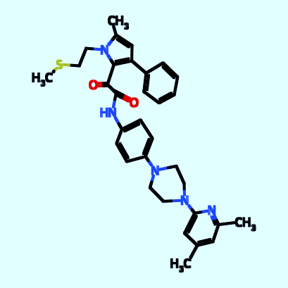 CSCCn1c(C)cc(-c2ccccc2)c1C(=O)C(=O)Nc1ccc(N2CCN(c3cc(C)cc(C)n3)CC2)cc1